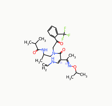 C=CN/C=C(C(=O)N(CC(=O)c1ccccc1C(F)(F)F)CC(C)NC(=O)C(C)C)/C(C)=N/OC(C)C